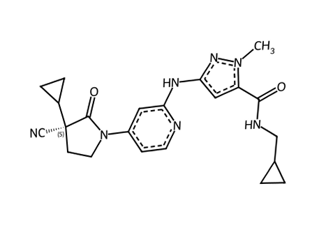 Cn1nc(Nc2cc(N3CC[C@@](C#N)(C4CC4)C3=O)ccn2)cc1C(=O)NCC1CC1